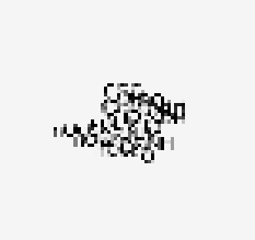 CCCCCCCCOC(=O)Nc1ccc(C(=O)[O-])c(O)c1.CCCCCCCCOC(=O)Nc1ccc(C(=O)[O-])c(O)c1.CCCCCCCCOC(=O)Nc1ccc(C(=O)[O-])c(O)c1.[Al+3]